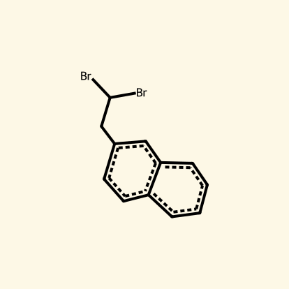 BrC(Br)Cc1ccc2ccccc2c1